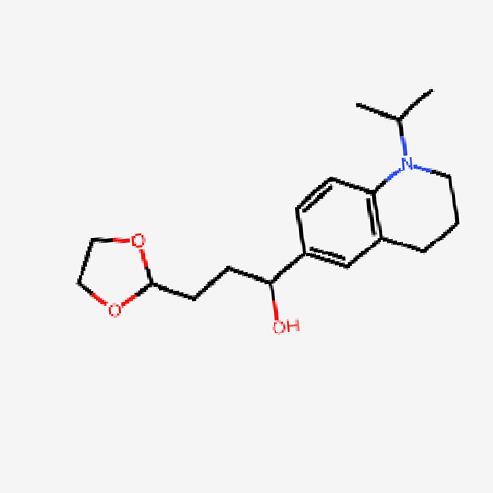 CC(C)N1CCCc2cc(C(O)CCC3OCCO3)ccc21